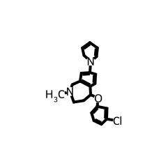 CN1CCC(Oc2cccc(Cl)c2)c2ccc(N3C=CC=CC3)cc2C1